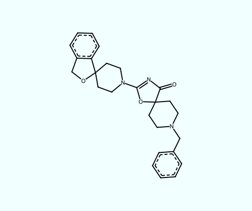 O=C1N=C(N2CCC3(CC2)OCc2ccccc23)OC12CCN(Cc1ccccc1)CC2